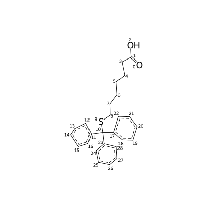 O=C(O)CCCCCCSC(c1ccccc1)(c1ccccc1)c1ccccc1